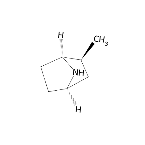 C[C@H]1C[C@H]2CC[C@@H]1N2